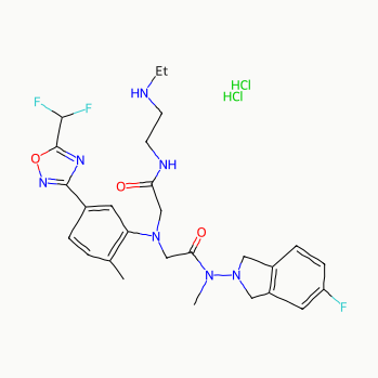 CCNCCNC(=O)CN(CC(=O)N(C)N1Cc2ccc(F)cc2C1)c1cc(-c2noc(C(F)F)n2)ccc1C.Cl.Cl